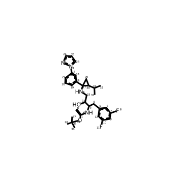 C=C(NC(Cc1cc(F)cc(F)c1)C(O)CNC1(c2cccc(-n3cccn3)c2)CC1C(C)C)OC(C)(C)C